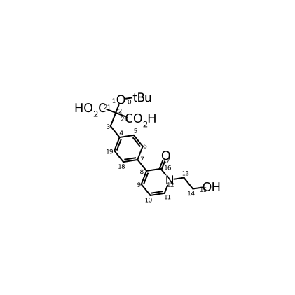 CC(C)(C)OC(Cc1ccc(-c2cccn(CCO)c2=O)cc1)(C(=O)O)C(=O)O